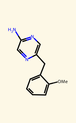 COc1ccccc1Cc1cnc(N)cn1